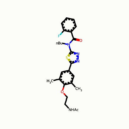 CCCCN(C(=O)c1ccccc1F)c1nnc(-c2cc(C)c(OCCNC(C)=O)c(C)c2)s1